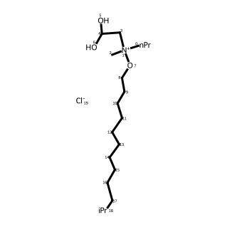 CCC[N+](C)(CC(O)O)OCCCCCCCCCCC(C)C.[Cl-]